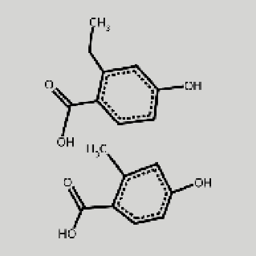 CCc1cc(O)ccc1C(=O)O.Cc1cc(O)ccc1C(=O)O